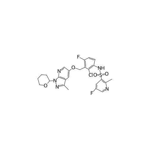 Cc1ncc(F)cc1S(=O)(=O)Nc1ccc(F)c(COc2cnc3c(c2)c(C)nn3C2CCCCO2)c1Cl